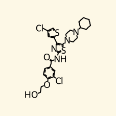 O=C(Nc1nc(-c2cc(Cl)cs2)c(N2CCN(C3CCCCC3)CC2)s1)c1ccc(OCCO)c(Cl)c1